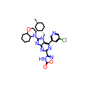 C[C@H]1CC[C@H](Cn2c(N3CCOC4CCCCC43)nc3nc(-c4noc(=O)[nH]4)nc(-c4cncc(Cl)c4)c32)CC1